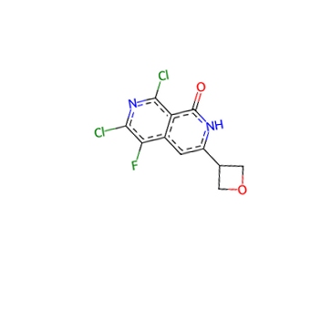 O=c1[nH]c(C2COC2)cc2c(F)c(Cl)nc(Cl)c12